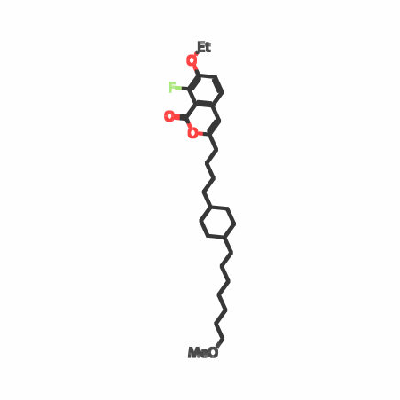 CCOc1ccc2cc(CCCCC3CCC(CCCCCCCOC)CC3)oc(=O)c2c1F